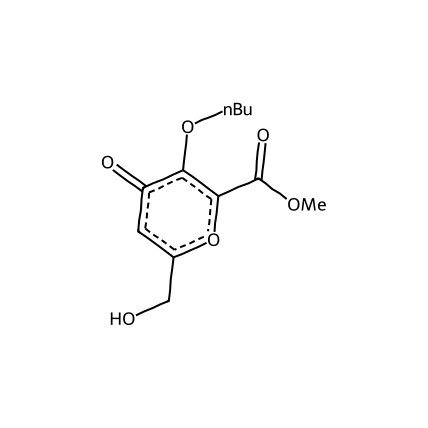 CCCCOc1c(C(=O)OC)oc(CO)cc1=O